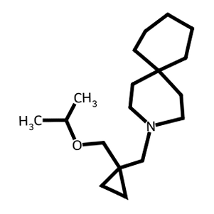 CC(C)OCC1(CN2CCC3(CCCCC3)CC2)CC1